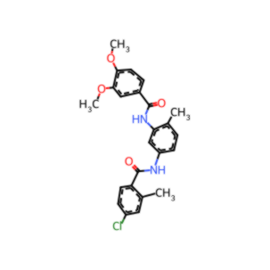 COc1ccc(C(=O)Nc2cc(NC(=O)c3ccc(Cl)cc3C)ccc2C)cc1OC